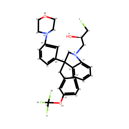 O[C@@H](CF)CN1CC(Cc2cccc(OC(F)(F)F)c2)(c2cccc(N3CCOCC3)c2)c2ccccc21